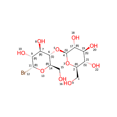 OC[C@H]1O[C@@H](O[C@H]2[C@H](O)[C@@H](O)[C@@H](Br)O[C@@H]2CO)[C@H](O)[C@@H](O)[C@@H]1O